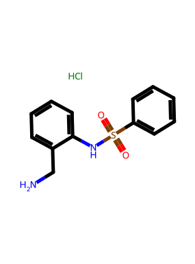 Cl.NCc1ccccc1NS(=O)(=O)c1ccccc1